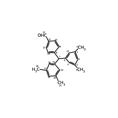 Cc1cc(C)cc(C(c2ccc(C=O)cc2)c2cc(C)cc(C)c2)c1